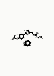 COC(=O)CCc1coc(-c2ccc(OC(F)F)cc2)n1.c1cc2cc(c1)OC2